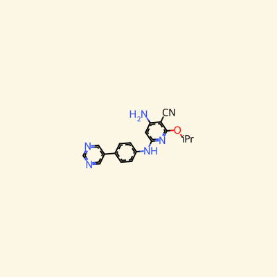 CC(C)Oc1nc(Nc2ccc(-c3cncnc3)cc2)cc(N)c1C#N